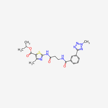 Cc1nc(NC(=O)CCNC(=O)c2cccc(-c3nnn(C)n3)c2)sc1C(=O)OC(C)C